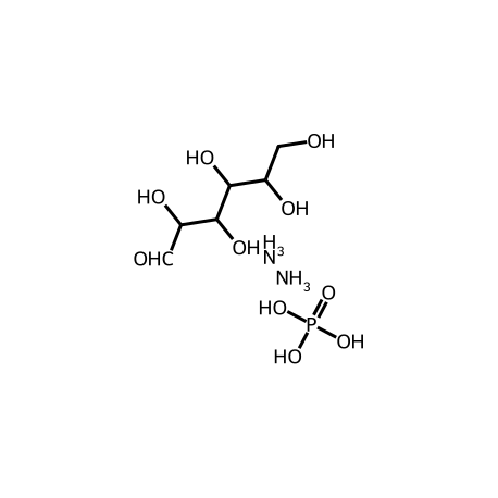 N.N.O=CC(O)C(O)C(O)C(O)CO.O=P(O)(O)O